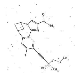 COC[C@@](C)(O)C#Cc1cc2c(cc1F)C1CC(C1)n1cc(C(N)=O)nc1-2